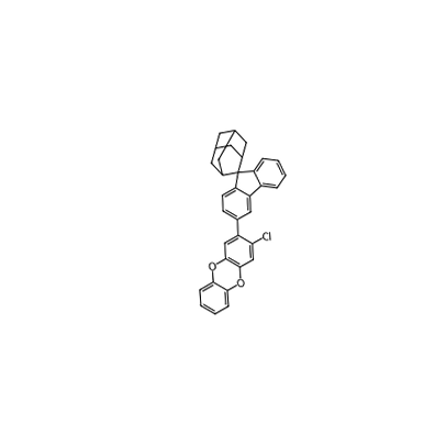 Clc1cc2c(cc1-c1ccc3c(c1)-c1ccccc1C31C3CC4CC(C3)CC1C4)Oc1ccccc1O2